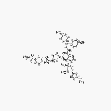 NS(=O)(=O)c1ccc(NC(=O)NC2CCN(c3nc(NCC(c4ccc(O)cc4)c4ccc(O)cc4)c4ncn([C@@H]5C[C@H](n6cc(CO)cn6)[C@@H](O)[C@H]5O)c4n3)C2)cc1